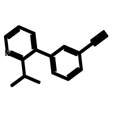 C#Cc1cccc(-c2cccnc2C(C)C)c1